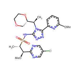 COc1cccc(-c2nnc(NS(=O)(=O)[C@@H](C)[C@H](OC)c3ncc(Cl)cn3)n2[C@H](C)[C@@H]2COCCO2)n1